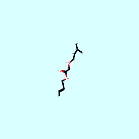 CC=CCOC(=O)COCCC(C)C